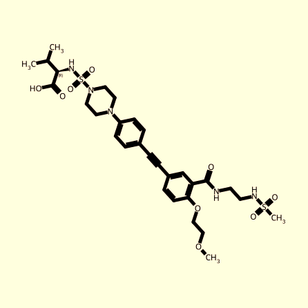 COCCOc1ccc(C#Cc2ccc(N3CCN(S(=O)(=O)N[C@@H](C(=O)O)C(C)C)CC3)cc2)cc1C(=O)NCCNS(C)(=O)=O